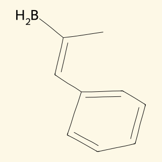 BC(C)=Cc1ccccc1